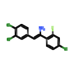 N/C(=C\c1ccc(Cl)c(Cl)c1)c1ccc(Cl)cc1F